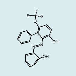 Oc1ccccc1N=Nc1c(O)ccc(OC(F)(F)F)c1-c1ccccc1